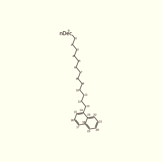 CCCCCCCCCCCCCCCCCCCCCCCc1cccc2ccccc12